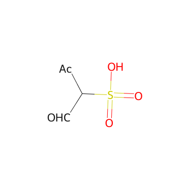 CC(=O)C(C=O)S(=O)(=O)O